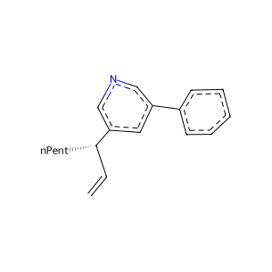 C=C[C@H](CCCCC)c1cncc(-c2ccccc2)c1